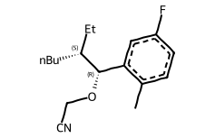 CCCC[C@H](CC)[C@@H](OCC#N)c1cc(F)ccc1C